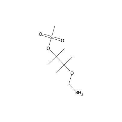 BCOC(C)(C)C(C)(C)OS(C)(=O)=O